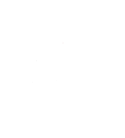 Cc1cc2c(cc1C[P+](c1ccccc1)(c1ccccc1)c1ccccc1)C(C)(C)CCC2(C)C.[Br-]